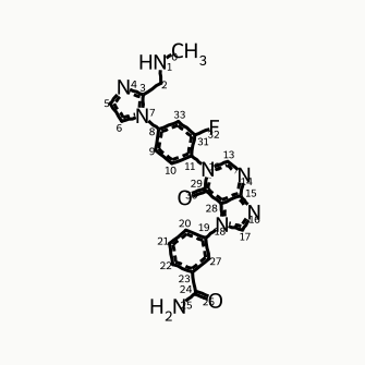 CNCc1nccn1-c1ccc(-n2cnc3ncn(-c4cccc(C(N)=O)c4)c3c2=O)c(F)c1